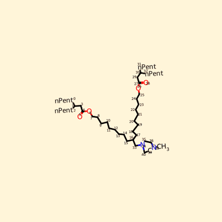 CCCCCC(CCCCC)CC(=O)OCCCCCCCCCC(CCCCCCCCCOC(=O)CC(CCCCC)CCCCC)CN1CCN(C)CC1